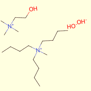 CCCC[N+](C)(CCCC)CCCC.C[N+](C)(C)CCO.[OH-].[OH-]